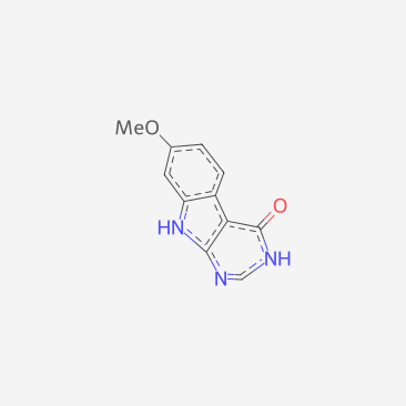 COc1ccc2c(c1)[nH]c1nc[nH]c(=O)c12